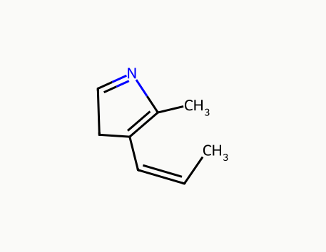 C/C=C\C1=C(C)N=CC1